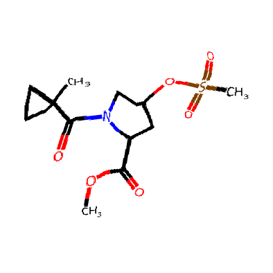 COC(=O)C1CC(OS(C)(=O)=O)CN1C(=O)C1(C)CC1